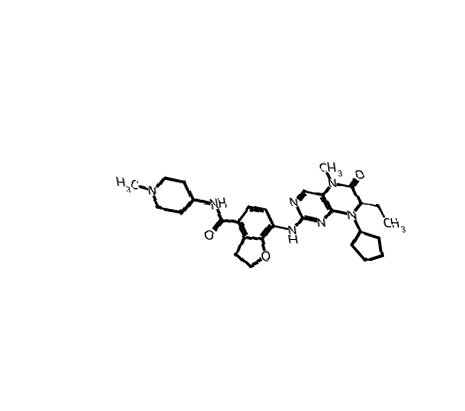 CC[C@@H]1C(=O)N(C)c2cnc(Nc3ccc(C(=O)NC4CCN(C)CC4)c4c3OCC4)nc2N1C1CCCC1